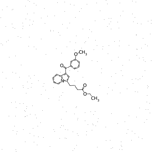 CCOC(=O)CCCc1cc(C(=O)c2cccc(OC)c2)c2ccccn12